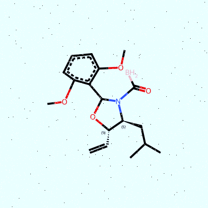 BC(=O)N1C(c2c(OC)cccc2OC)O[C@@H](C=C)[C@@H]1CC(C)C